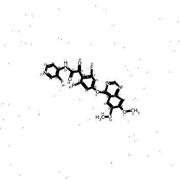 COc1cc2ncnc(Oc3cc(F)c(C(=O)C(=O)Nc4ccncc4F)c(F)c3)c2cc1OC